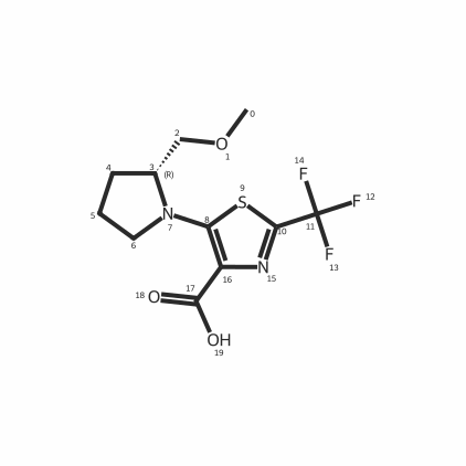 COC[C@H]1CCCN1c1sc(C(F)(F)F)nc1C(=O)O